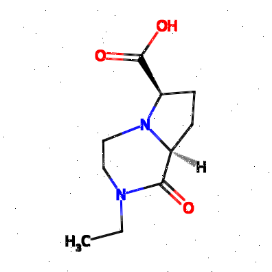 CCN1CCN2[C@@H](C(=O)O)CC[C@H]2C1=O